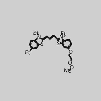 CCc1ccc2c(c1)SC(=CC=Cc1sc3cc(OCCOOC#N)ccc3[n+]1CC)N2CC